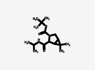 CC(C)NC(=O)C1C2C(CN1C(=O)OC(C)(C)C)C2(C)C